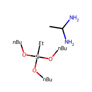 CC(N)N.CCCCO[Si](CC)(OCCCC)OCCCC